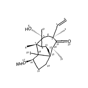 C=C[C@]1(C)C[C@@H](O)[C@]2(C)C(C)CC[C@]3(CC[C@@H](OC)C32I)[C@@H](C)C1=O